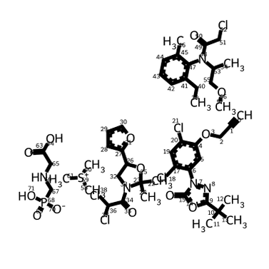 C#CCOc1cc(-n2nc(C(C)(C)C)oc2=O)c(Cl)cc1Cl.CC1(C)OC(c2ccco2)CN1C(=O)C(Cl)Cl.CCc1cccc(C)c1N(C(=O)CCl)C(C)COC.C[S+](C)C.O=C(O)CNCP(=O)([O-])O